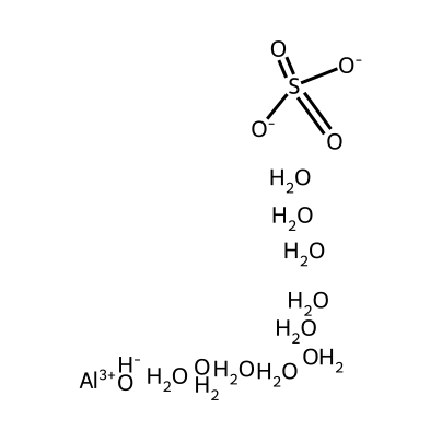 O.O.O.O.O.O.O.O.O.O.O=S(=O)([O-])[O-].[Al+3].[OH-]